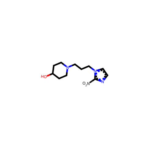 O=[N+]([O-])c1nccn1CCCN1CCC(O)CC1